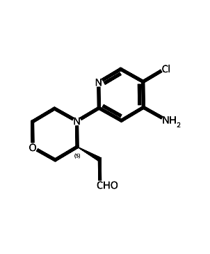 Nc1cc(N2CCOC[C@@H]2CC=O)ncc1Cl